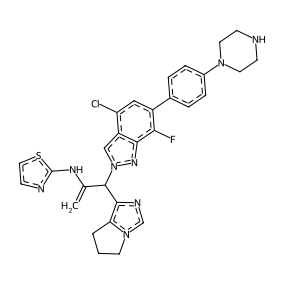 C=C(Nc1nccs1)C(c1ncn2c1CCC2)n1cc2c(Cl)cc(-c3ccc(N4CCNCC4)cc3)c(F)c2n1